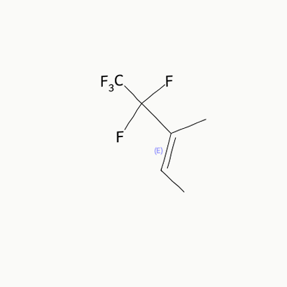 C/C=C(\C)C(F)(F)C(F)(F)F